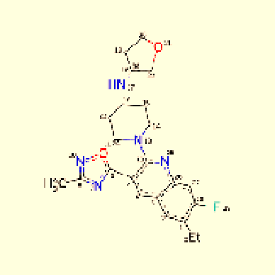 CCc1cc2cc(-c3nc(C)no3)c(N3CCC(N[C@@H]4CCOC4)CC3)nc2cc1F